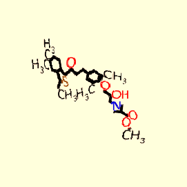 CCOC(=O)C1CN(CC(O)COc2c(C)cc(CCC(=O)c3sc(CC)c4c3CCC(C)(C)C4)cc2C)C1